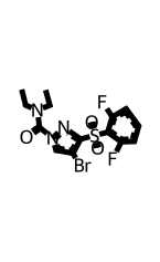 CCN(CC)C(=O)n1cc(Br)c(S(=O)(=O)c2c(F)cccc2F)n1